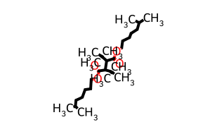 CC(C)CCCCCOC(=O)C(C(C(=O)OCCCCCC(C)C)C(C)(C)C)C(C)(C)C